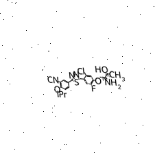 [C-]#[N+]c1cc(-c2nnc(-c3cc(F)c(OC[C@@H](N)[C@H](C)O)cc3Cl)s2)ccc1OC(C)C